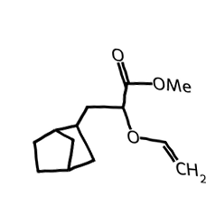 C=COC(CC1CC2CCC1C2)C(=O)OC